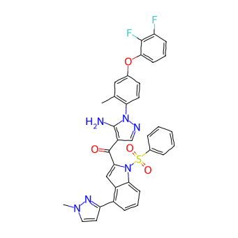 Cc1cc(Oc2cccc(F)c2F)ccc1-n1ncc(C(=O)c2cc3c(-c4ccn(C)n4)cccc3n2S(=O)(=O)c2ccccc2)c1N